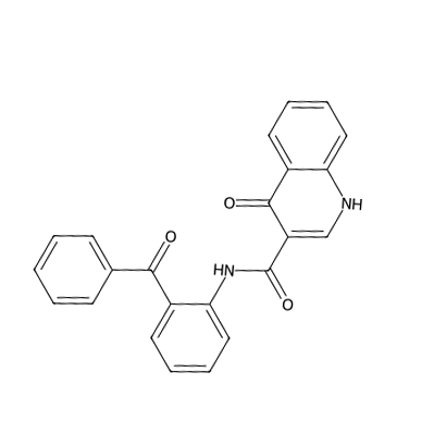 O=C(c1ccccc1)c1ccccc1NC(=O)c1c[nH]c2ccccc2c1=O